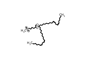 CCCCC/C=C\C/C=C\CCCCCCCCC1(CCCCCCCC/C=C\C/C=C\CCCCC)OCC(CCCCS(C)(=O)=O)O1